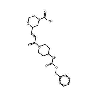 O=C(NC1CCN(C(=O)/C=C/C2CN(C(=O)O)CCO2)CC1)OCc1ccccc1